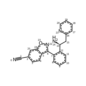 N#Cc1ccc2c(-c3ccccc3[C@@H](N)Cc3ccccn3)noc2c1